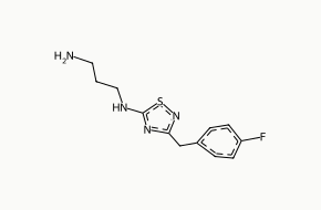 NCCCNc1nc(Cc2ccc(F)cc2)ns1